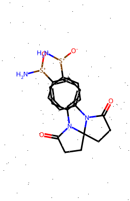 N[S+]([O-])c1ccc(N2C(=O)CCC23CCC(=O)N3c2ccc([S+](N)[O-])cc2)cc1